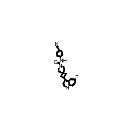 N#Cc1ccc(NC(=O)N2CCC3(CC2)CC(c2ccnc4ccc(F)cc24)C3)cc1